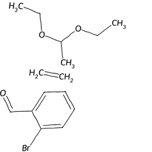 C=C.CCOC(C)OCC.O=Cc1ccccc1Br